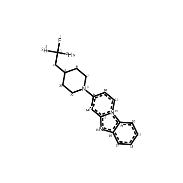 [2H]C([2H])(F)CC1CCN(c2ccn3c(n2)nc2ccccc23)CC1